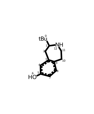 CC(C)(C)C1Cc2cc(O)ccc2CCN1